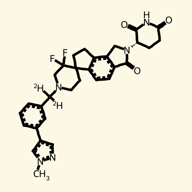 [2H]C([2H])(c1cccc(-c2cnn(C)c2)c1)N1CCC2(CCc3c2ccc2c3CN([C@H]3CCC(=O)NC3=O)C2=O)C(F)(F)C1